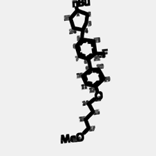 CCCCC1CCC(c2ccc(-c3ccc(OCCCCOC)cc3)c(F)c2)CC1